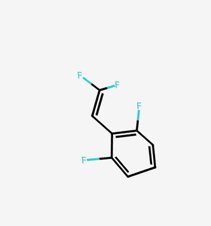 FC(F)=Cc1c(F)cccc1F